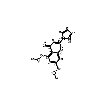 COSc1cc(SOC)c2c(=O)cc(-n3cccn3)oc2c1